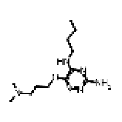 CCCCNc1nc(N)nnc1OCCCN(C)C